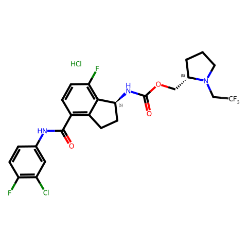 Cl.O=C(N[C@H]1CCc2c(C(=O)Nc3ccc(F)c(Cl)c3)ccc(F)c21)OC[C@@H]1CCCN1CC(F)(F)F